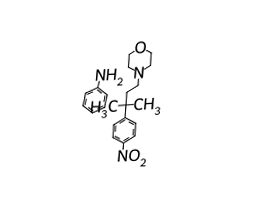 CC(C)(CCN1CCOCC1)c1ccc([N+](=O)[O-])cc1.Nc1ccccc1